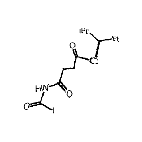 CCC(OC(=O)CCC(=O)NC(=O)I)C(C)C